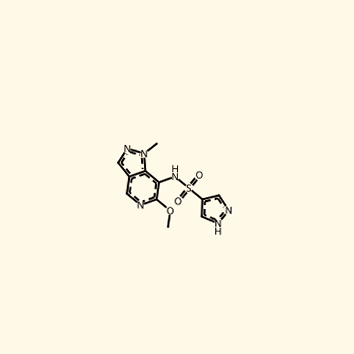 COc1ncc2cnn(C)c2c1NS(=O)(=O)c1cn[nH]c1